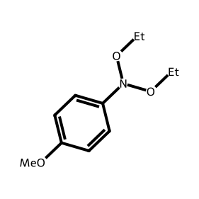 CCON(OCC)c1ccc(OC)cc1